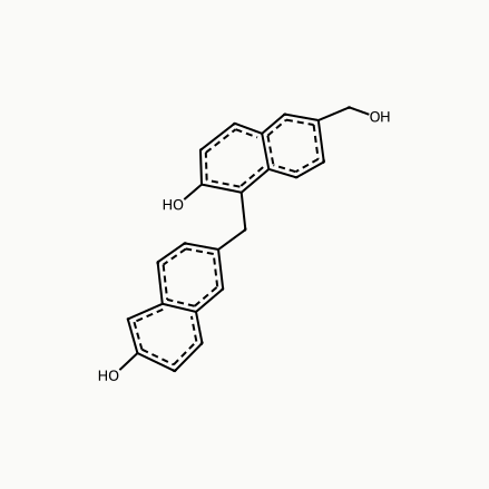 OCc1ccc2c(Cc3ccc4cc(O)ccc4c3)c(O)ccc2c1